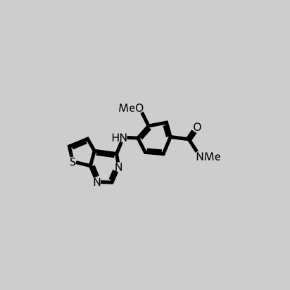 CNC(=O)c1ccc(Nc2ncnc3sccc23)c(OC)c1